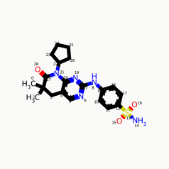 CC1(C)Cc2cnc(Nc3ccc(S(N)(=O)=O)cc3)nc2N(C2CCCC2)C1=O